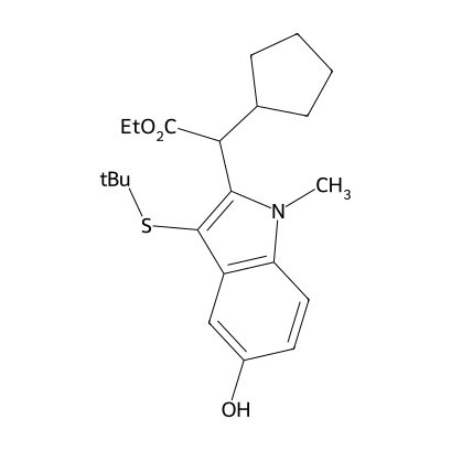 CCOC(=O)C(c1c(SC(C)(C)C)c2cc(O)ccc2n1C)C1CCCC1